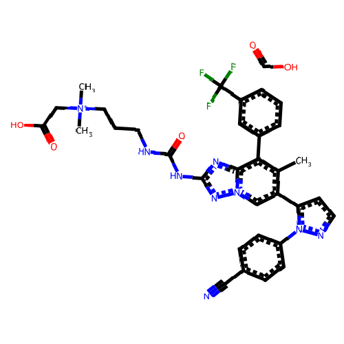 Cc1c(-c2ccnn2-c2ccc(C#N)cc2)cn2nc(NC(=O)NCCC[N+](C)(C)CC(=O)O)nc2c1-c1cccc(C(F)(F)F)c1.O=CO